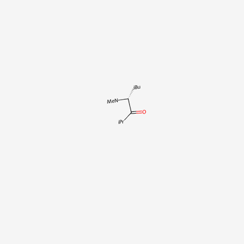 CCC(C)[C@@H](NC)C(=O)C(C)C